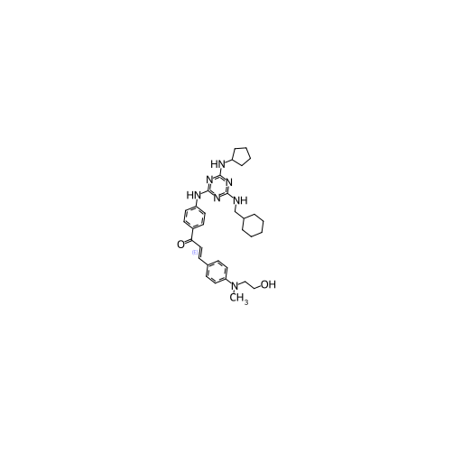 CN(CCO)c1ccc(/C=C/C(=O)c2ccc(Nc3nc(NCC4CCCCC4)nc(NC4CCCC4)n3)cc2)cc1